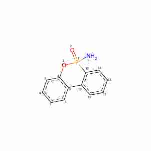 NP1(=O)Oc2ccccc2-c2ccccc21